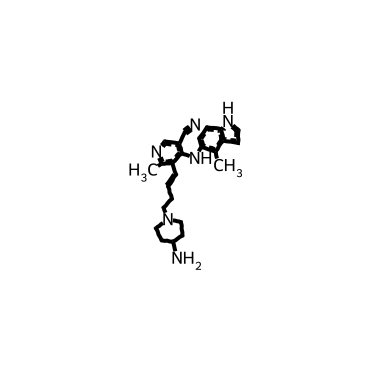 Cc1ncc(C#N)c(Nc2ccc3[nH]ccc3c2C)c1C=CCCN1CCC(N)CC1